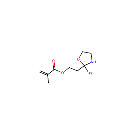 C=C(C)C(=O)OCCC1(C(C)C)NCCO1